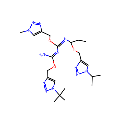 CCC(/N=C(\N=C(/N)OCc1cn(C(C)(C)C)nn1)OCc1cn(C)nn1)OCc1cn(C(C)C)nn1